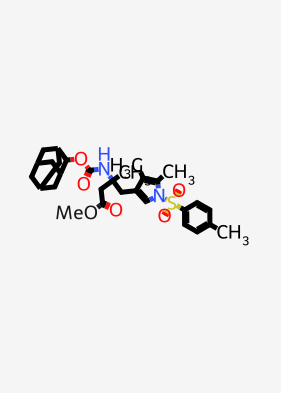 COC(=O)CC(C)(Cc1cn(S(=O)(=O)c2ccc(C)cc2)c(C)c1C)NC(=O)OC1C2CC3CC(C2)CC1C3